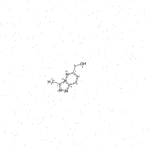 Cc1nnc2ccc(CO)nn12